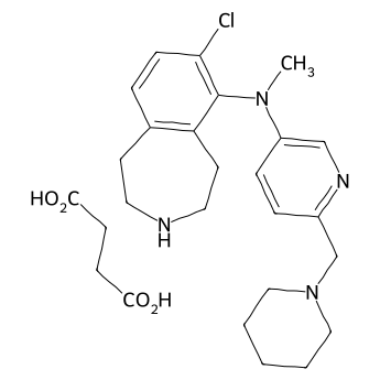 CN(c1ccc(CN2CCCCC2)nc1)c1c(Cl)ccc2c1CCNCC2.O=C(O)CCC(=O)O